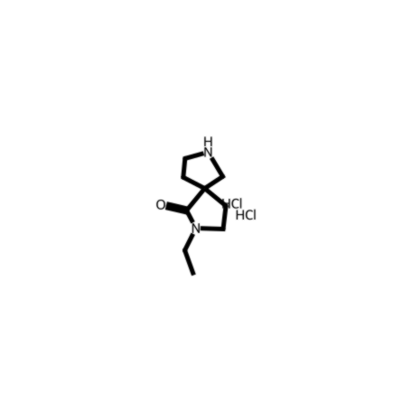 CCN1CCC2(CCNC2)C1=O.Cl.Cl